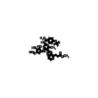 COC(=O)CCc1nccc2sc(-c3c(C)nc(N[C@H](C)c4ccc(OC(F)(F)F)cc4)nc3N[C@@H]3C[C@H](CO)[C@@H](O)[C@H]3O)nc12